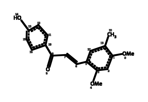 COc1cc(OC)c(C=CC(=O)c2ccc(O)cc2)cc1C